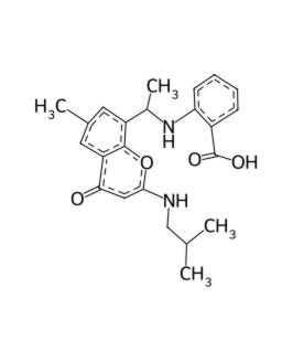 Cc1cc(C(C)Nc2ccccc2C(=O)O)c2oc(NCC(C)C)cc(=O)c2c1